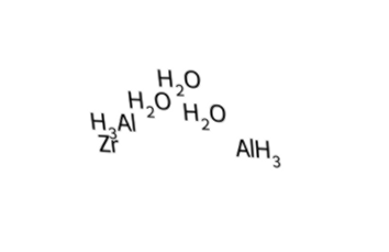 O.O.O.[AlH3].[AlH3].[Zr]